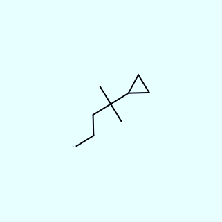 [CH2]CCC(C)(C)C1CC1